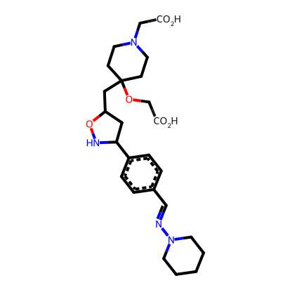 O=C(O)COC1(CC2CC(c3ccc(C=NN4CCCCC4)cc3)NO2)CCN(CC(=O)O)CC1